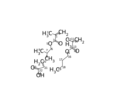 C=C(C)C(=O)OCC(C)C.C=C(C)C(=O)OCCCC.C=CC(=O)O